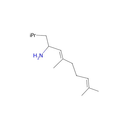 CC(C)=CCC/C(C)=C/C(N)CC(C)C